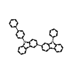 c1ccc(-c2ccc(-n3c4ccccc4c4cc(-c5ccc6c7ccccc7n(-c7ccccc7)c6c5)ccc43)cc2)cc1